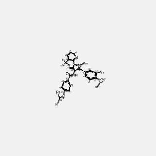 COc1ccc(-c2c(NC(=O)c3ccc(OC(F)F)cc3)c(=O)n(-c3ncccc3C(F)(F)F)n2C)cc1C